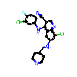 N#Cc1cnc2c(Cl)cc(NCc3ccncc3)cc2c1Nc1ccc(F)c(Cl)c1